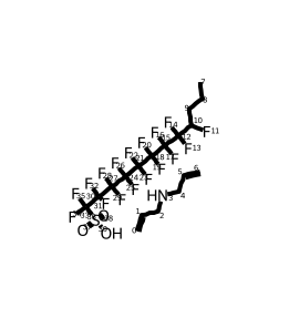 C=CCNCC=C.CCCC(F)C(F)(F)C(F)(F)C(F)(F)C(F)(F)C(F)(F)C(F)(F)C(F)(F)C(F)(F)S(=O)(=O)O